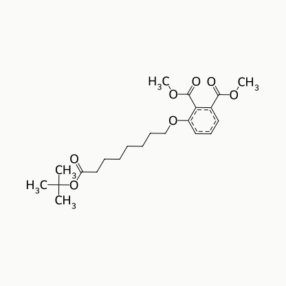 COC(=O)c1cccc(OCCCCCCCC(=O)OC(C)(C)C)c1C(=O)OC